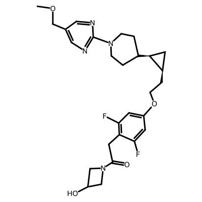 COCc1cnc(N2CCC([C@H]3C[C@H]3CCOc3cc(F)c(CC(=O)N4CC(O)C4)c(F)c3)CC2)nc1